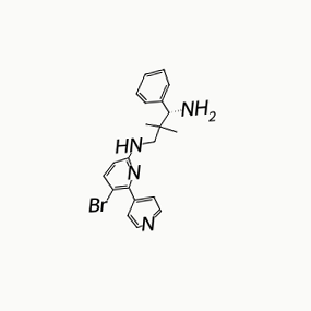 CC(C)(CNc1ccc(Br)c(-c2ccncc2)n1)[C@@H](N)c1ccccc1